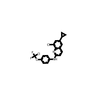 FC(F)(Cl)Oc1ccc(Nc2ccc3cc(C4CC4)cc(Cl)c3n2)cc1